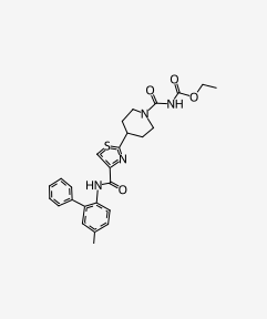 CCOC(=O)NC(=O)N1CCC(c2nc(C(=O)Nc3ccc(C)cc3-c3ccccc3)cs2)CC1